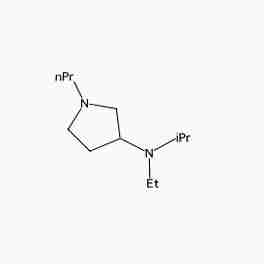 CCCN1CCC(N(CC)C(C)C)C1